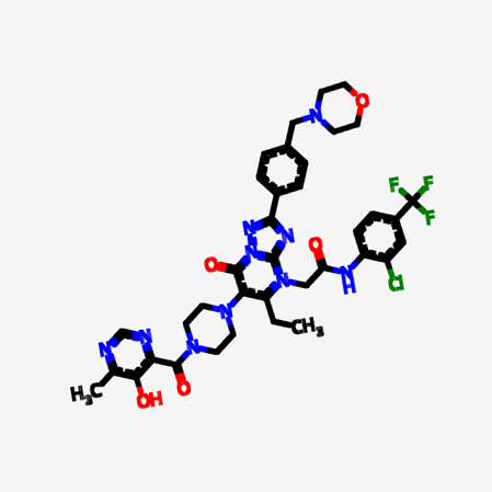 CCc1c(N2CCN(C(=O)c3ncnc(C)c3O)CC2)c(=O)n2nc(-c3ccc(CN4CCOCC4)cc3)nc2n1CC(=O)Nc1ccc(C(F)(F)F)cc1Cl